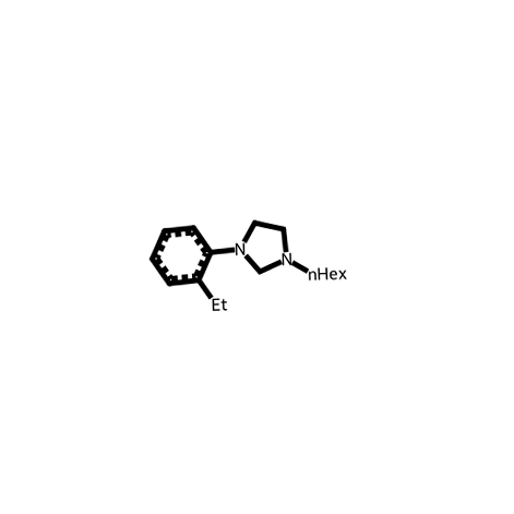 CCCCCCN1CCN(c2ccccc2CC)C1